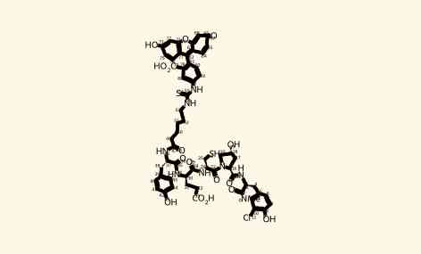 CNC(=O)[C@H](Cc1ccc(O)c(Cl)c1)NC(=O)[C@@H]1C[C@@H](O)CN1C(=O)[C@H](CS)NC(=O)[C@@H](CCC(=O)O)NC(=O)[C@H](Cc1ccc(O)cc1)NC(=O)CCCCCNC(=S)Nc1ccc(-c2c3ccc(=O)cc-3oc3cc(O)ccc23)c(C(=O)O)c1